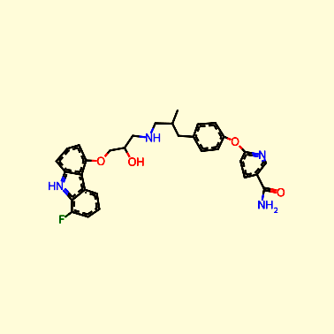 CC(CNCC(O)COc1cccc2[nH]c3c(F)cccc3c12)Cc1ccc(Oc2ccc(C(N)=O)cn2)cc1